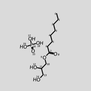 CCCCCCCC(=O)OCC(O)CO.O=P(O)(O)O